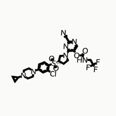 N#Cc1ncc(OC(=O)NCC(F)(F)F)c(N2CC[C@H](S(=O)(=O)c3ccc(N4CCN(C5CC5)CC4)cc3Cl)C2)n1